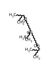 CCCCCC(/C=C\COC(=O)CCCCCCCCCN(CCCCCCCCCC(=O)OC/C=C\C(CCCCC)CCCCC)C(=O)CCCN(C)C)CCCCC